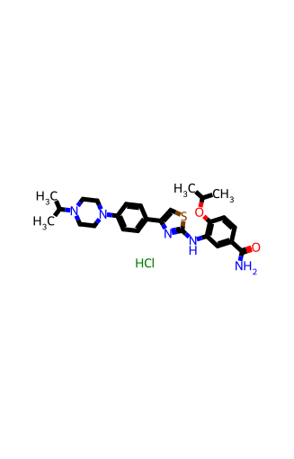 CC(C)Oc1ccc(C(N)=O)cc1Nc1nc(-c2ccc(N3CCN(C(C)C)CC3)cc2)cs1.Cl